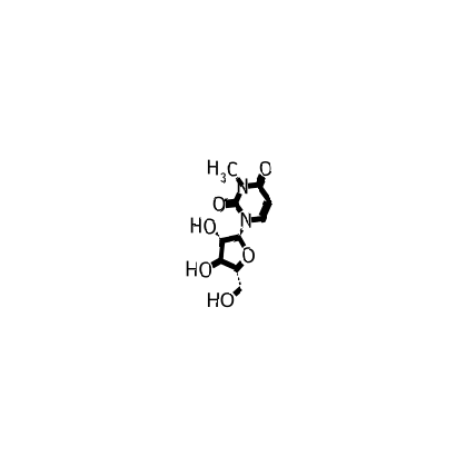 Cn1c(=O)ccn([C@@H]2O[C@H](CO)C(O)[C@@H]2O)c1=O